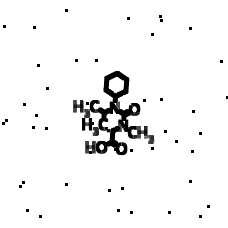 CC(C)N(C(=O)N(C)[CH]C(=O)O)C1CCCCC1